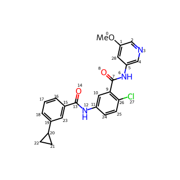 COc1cncc(NC(=O)c2cc(NC(=O)c3cccc(C4CC4)c3)ccc2Cl)c1